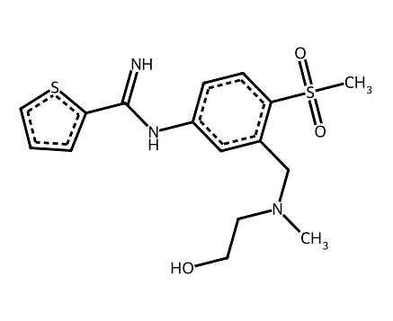 CN(CCO)Cc1cc(NC(=N)c2cccs2)ccc1S(C)(=O)=O